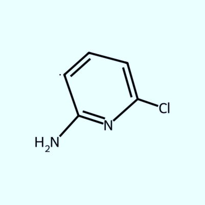 Nc1[c]ccc(Cl)n1